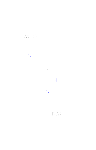 CNc1ccn(-c2ccc(OC)nc2)n1